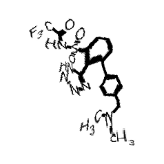 CN(C)Cc1ccc(-c2cccc(S(=O)(=O)NC(=O)C(F)(F)F)c2-c2nnn[nH]2)cc1